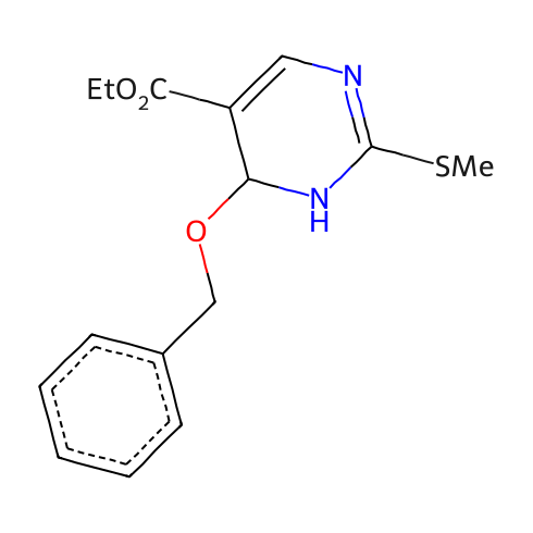 CCOC(=O)C1=CN=C(SC)NC1OCc1ccccc1